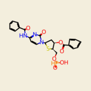 O=C(Nc1ccn(C2C[C@@H](OC(=O)c3ccccc3)[C@@H](CO[PH](=O)O)S2)c(=O)n1)c1ccccc1